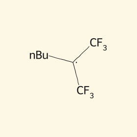 CCCC[C](C(F)(F)F)C(F)(F)F